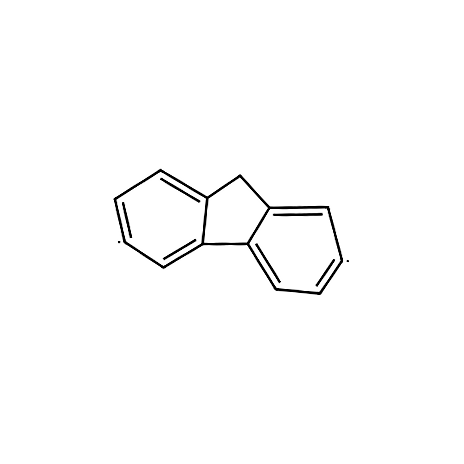 [c]1ccc2c(c1)Cc1cc[c]cc1-2